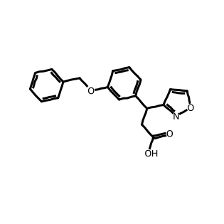 O=C(O)CC(c1cccc(OCc2ccccc2)c1)c1ccon1